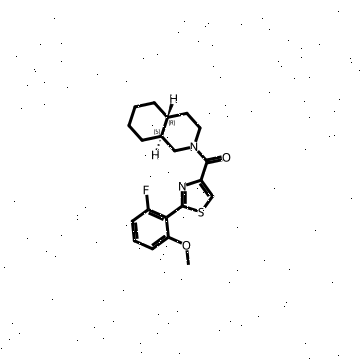 COc1cccc(F)c1-c1nc(C(=O)N2CC[C@H]3CCCC[C@@H]3C2)cs1